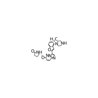 C[C@@H]1CNCCN1c1cccc2oc(-c3cnc4ccc(OC[C@@H]5CCC(=O)N5)nn34)cc12